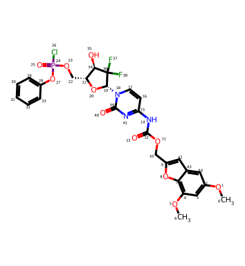 COc1cc(OC)c2oc(COC(=O)Nc3ccn([C@@H]4O[C@H](COP(=O)(Cl)Oc5ccccc5)[C@@H](O)C4(F)F)c(=O)n3)cc2c1